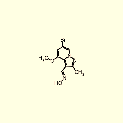 COc1cc(Br)cn2nc(C)c(C=NO)c12